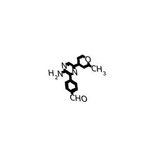 CC1CC(c2cnc(N)c(-c3ccc(C=O)cc3)n2)CCO1